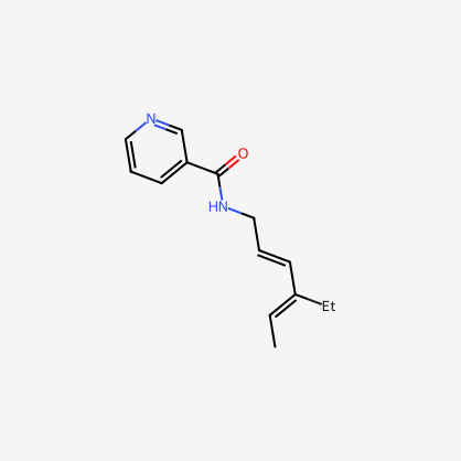 CC=C(C=CCNC(=O)c1cccnc1)CC